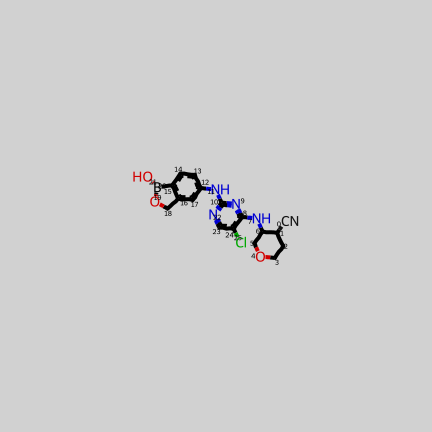 N#CC1CCOCC1Nc1nc(Nc2ccc3c(c2)COB3O)ncc1Cl